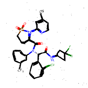 N#Cc1ccnc(N2C(C(=O)N(c3cccc(C(F)(F)F)c3)[C@H](C(=O)NC3CC(F)(F)C3)c3ccccc3Cl)CCS2(=O)=O)c1